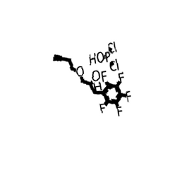 C#CCCOCC(O)Cc1c(F)c(F)c(F)c(F)c1F.OP(Cl)Cl